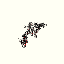 [2H]C(c1ccccc1OC1CN(CCC(=O)O)C1)N(c1ccc(-c2ccco2)cc1)C(C)C.[2H]C(c1ccccc1OCCC1CC(C(=O)O)C1)N(c1ccc(-c2ccco2)cc1)C(C)C.[2H]C(c1ccccc1OCCNC(=O)CC(=O)O)N(c1ccc(-c2ccco2)cc1)C(C)C.[2H]C(c1ccccc1OCc1csc(CCC(=O)O)n1)N(c1ccc(-c2ccco2)cc1)C(C)C